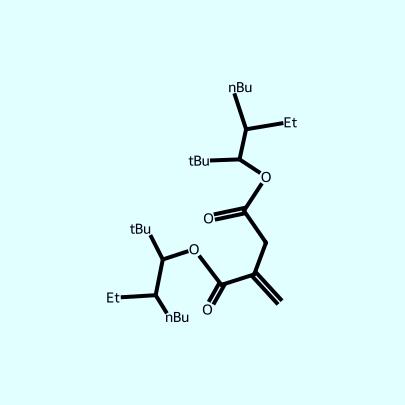 C=C(CC(=O)OC(C(CC)CCCC)C(C)(C)C)C(=O)OC(C(CC)CCCC)C(C)(C)C